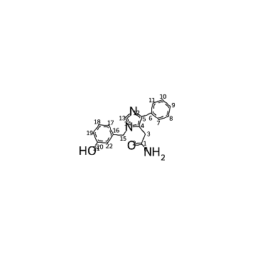 NC(=O)Cc1c(-c2ccccc2)ncn1Cc1cccc(O)c1